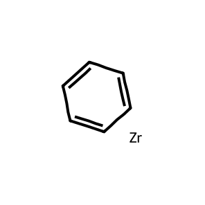 [Zr].c1ccccc1